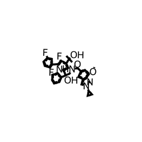 COc1cc(C(=O)NC[C@@](O)(c2ccccc2)c2cc(C(C)(C)O)c(F)c(-c3cc(F)ccc3F)n2)cc2cn(C3CC3)nc12